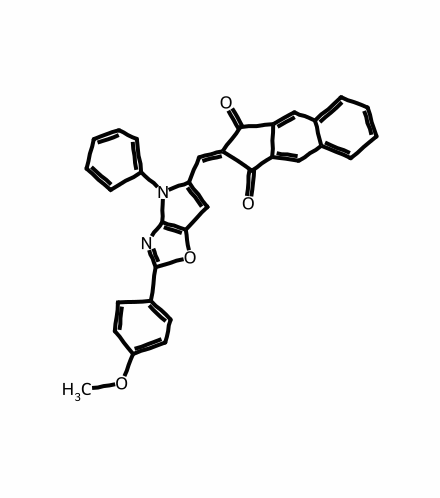 COc1ccc(-c2nc3c(cc(C=C4C(=O)c5cc6ccccc6cc5C4=O)n3-c3ccccc3)o2)cc1